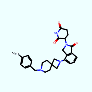 COc1ccc(CN2CCC3(CC2)CN(c2cccc4c2CN(C2CCC(=O)NC2=O)C4=O)C3)cc1